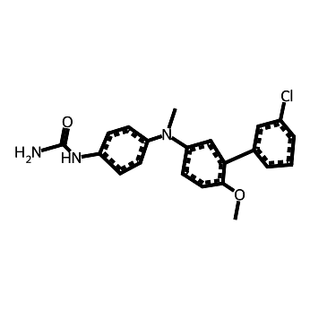 COc1ccc(N(C)c2ccc(NC(N)=O)cc2)cc1-c1cccc(Cl)c1